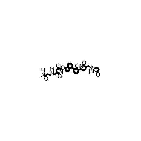 CNC(=O)CCNCc1cc(Cl)c(O[C@H]2CCC3=C(c4cccc(-c5ccc(CNC[C@@H]6CCC(=O)N6)c(OC)n5)c4Cl)CCC=C32)nc1OC